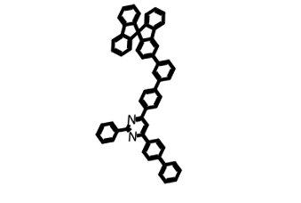 c1ccc(-c2ccc(-c3cc(-c4ccc(-c5cccc(-c6ccc7c(c6)-c6ccccc6C76c7ccccc7-c7ccccc76)c5)cc4)nc(-c4ccccc4)n3)cc2)cc1